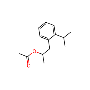 CC(=O)OC(C)Cc1ccccc1C(C)C